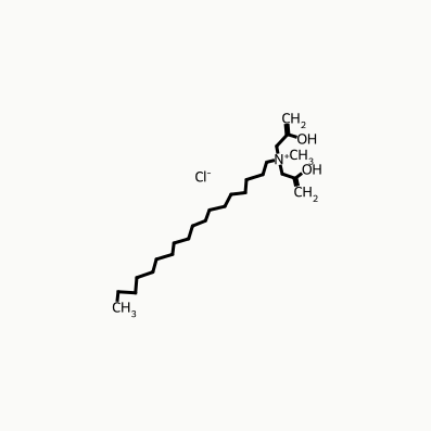 C=C(O)C[N+](C)(CCCCCCCCCCCCCCCCCC)CC(=C)O.[Cl-]